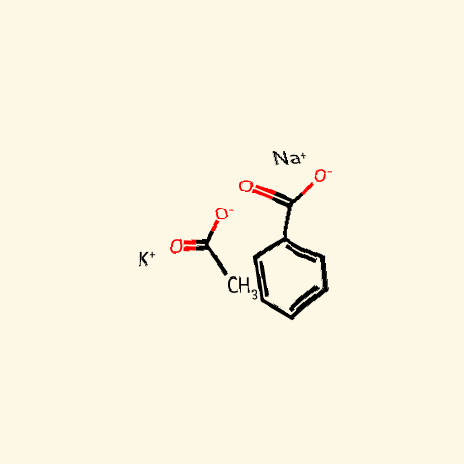 CC(=O)[O-].O=C([O-])c1ccccc1.[K+].[Na+]